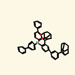 c1ccc(-c2ccc(N(c3ccc(-c4ccccc4)cc3)c3ccc(-c4cccc(C5C6CC7CC(C6)CC5C7)c4)cc3C3C4CC5CC(C4)CC3C5)cc2)cc1